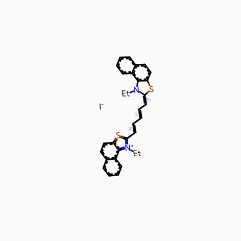 CCN1\C(=C/C=C/C=C/c2sc3ccc4ccccc4c3[n+]2CC)Sc2ccc3ccccc3c21.[I-]